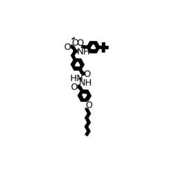 CCCCCCCOc1ccc(C(=O)NNC(=O)c2ccc(CC(NC(=O)c3ccc(C(C)(C)C)cc3)C(=O)OC)cc2)cc1